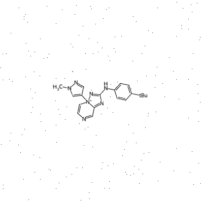 Cn1cc([N+]23C=CN=CC2=NC(Nc2ccc(C(C)(C)C)cc2)=N3)cn1